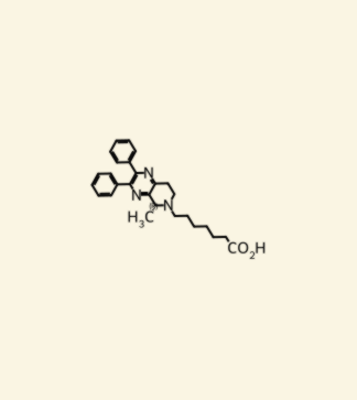 C[C@@H]1c2nc(-c3ccccc3)c(-c3ccccc3)nc2CCN1CCCCCCC(=O)O